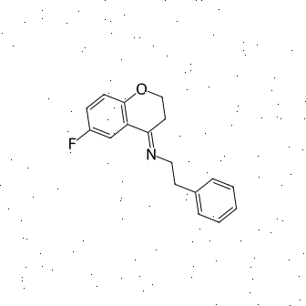 Fc1ccc2c(c1)C(=NCCc1ccccc1)CCO2